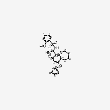 COc1ccccc1S(=O)(=O)NC1NOc2cc(Oc3nccs3)c3c(c21)OCCCC3